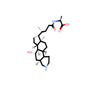 C[C@H](NC(=O)CC[C@@H](C)[C@H]1CC[C@H]2[C@@H]3[C@@H](O)C[C@@H]4CNCC[C@]4(C)[C@H]3CC[C@]12C)C(=O)O